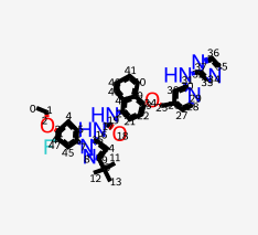 CCOc1ccc(-n2nc(C(C)(C)C)cc2NC(=O)Nc2ccc(OCc3ccnc(Nc4cnccn4)c3)c3ccccc23)cc1F